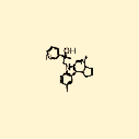 Cc1ccc2c(c1)c1c(n2CC(C)(O)c2cccnc2)CN(C)C2CCCC12